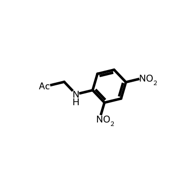 CC(=O)CNc1ccc([N+](=O)[O-])cc1[N+](=O)[O-]